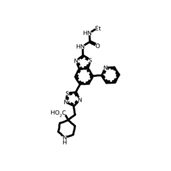 CCNC(=O)Nc1nc2cc(-c3nc(CC4(C(=O)O)CCNCC4)ns3)cc(-c3ccccn3)c2s1